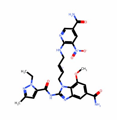 CCn1nc(C)cc1C(=O)Nc1nc2cc(C(N)=O)cc(OC)c2n1C/C=C/CNc1ncc(C(N)=O)cc1[N+](=O)[O-]